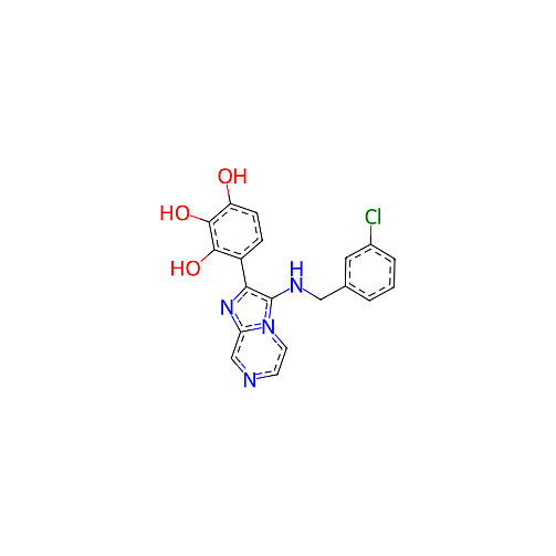 Oc1ccc(-c2nc3cnccn3c2NCc2cccc(Cl)c2)c(O)c1O